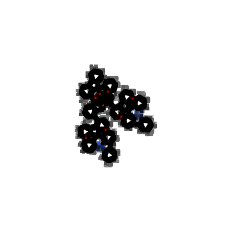 c1ccc(C2(c3ccccc3)c3ccccc3-c3cccc(-c4c5cccc(-c6cccc7c6-c6ccccc6C76c7ccccc7-n7c8ccccc8c8cccc6c87)c5cc5c(-c6cccc7c6-c6ccccc6C76c7ccccc7-n7c8ccccc8c8cccc6c87)cccc45)c32)cc1